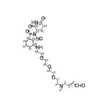 CN(C/C=C/C=O)CCOCCOCCOCCNc1cccc2c1C(=O)N(C1CCC(=O)NC1=O)C2=O